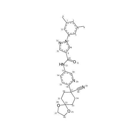 Cc1cc(C)cc(-n2cc(C(=O)Nc3ccc(C4(C#N)CCC5(CC4)OCCO5)nc3)cn2)c1